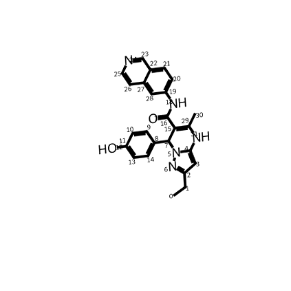 CCc1cc2n(n1)C(c1ccc(O)cc1)C(C(=O)Nc1ccc3cnccc3c1)=C(C)N2